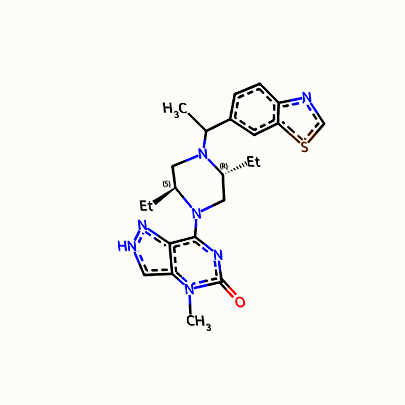 CC[C@H]1CN(C(C)c2ccc3ncsc3c2)[C@H](CC)CN1c1nc(=O)n(C)c2c[nH]nc12